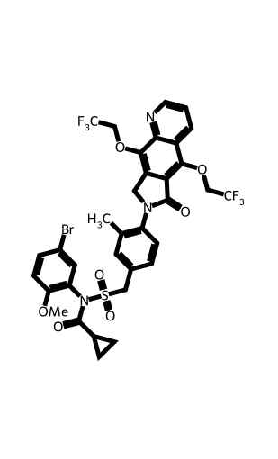 COc1ccc(Br)cc1N(C(=O)C1CC1)S(=O)(=O)Cc1ccc(N2Cc3c(c(OCC(F)(F)F)c4cccnc4c3OCC(F)(F)F)C2=O)c(C)c1